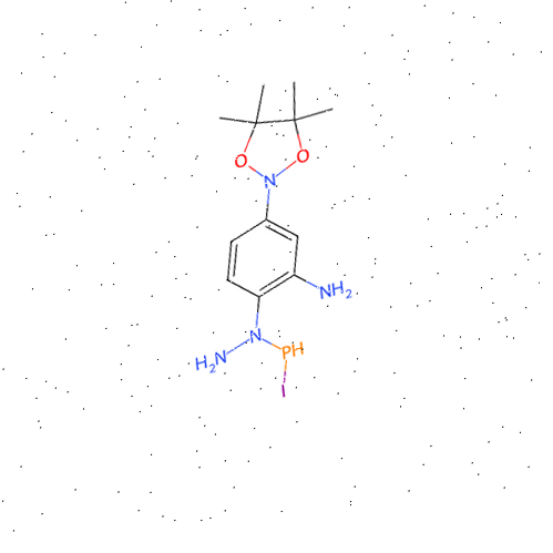 CC1(C)ON(c2ccc(N(N)PI)c(N)c2)OC1(C)C